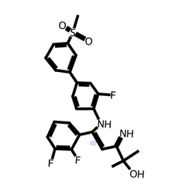 CC(C)(O)C(=N)/C=C(\Nc1ccc(-c2cccc(S(C)(=O)=O)c2)cc1F)c1cccc(F)c1F